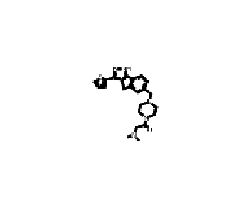 CN(C)CC(=O)N1CCN(Cc2ccc3c(c2)Cc2c(-c4cccs4)n[nH]c2-3)CC1